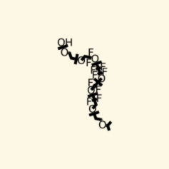 CC(C)OCCC(C)(C)OCC(F)(F)C(C)(C)OC(F)(F)C(C)(C)OC(F)(F)C(F)(F)C(C)(C)OC(F)(F)COC(C)(C)CCOC(C)(C)O